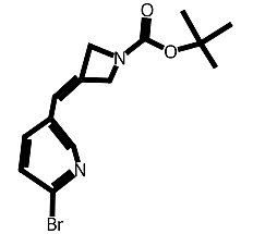 CC(C)(C)OC(=O)N1CC(=Cc2ccc(Br)nc2)C1